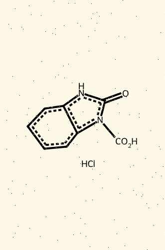 Cl.O=C(O)n1c(=O)[nH]c2ccccc21